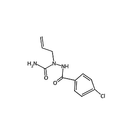 C=CCN(NC(=O)c1ccc(Cl)cc1)C(N)=O